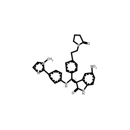 Cn1ccnc1-c1ccc(N/C(=C2\C(=O)Nc3ccc([N+](=O)[O-])cc32)c2ccc(CCN3CCCC3=O)cc2)cc1